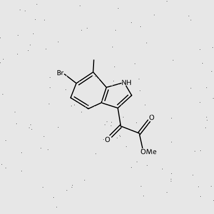 COC(=O)C(=O)c1c[nH]c2c(C)c(Br)ccc12